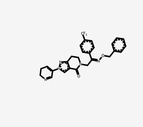 O=C1c2cn(C3=CCCN=C3)nc2CCN1C/C(=N/OCc1ccccc1)c1ccc(C(F)(F)F)cc1